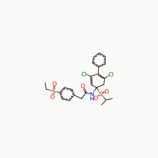 CCS(=O)(=O)c1ccc(CC(=O)NC2(S(=O)(=O)C(C)C)C=C(Cl)C(c3ccccc3)=C(Cl)C2)cc1